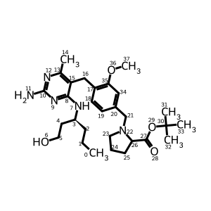 CCC[C@@H](CCO)Nc1nc(N)nc(C)c1Cc1ccc(CN2CCCC2C(=O)OC(C)(C)C)cc1OC